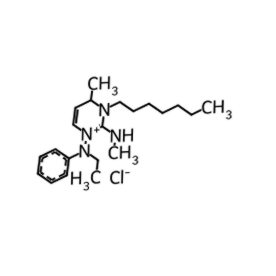 CCCCCCCN1C(NC)=[N+](N(CC)c2ccccc2)C=CC1C.[Cl-]